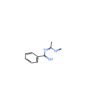 C=N/C(C)=N\C(=N)c1ccccc1